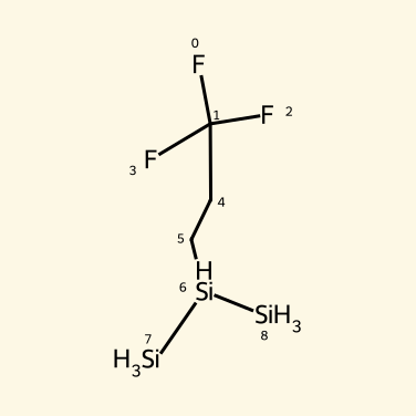 FC(F)(F)CC[SiH]([SiH3])[SiH3]